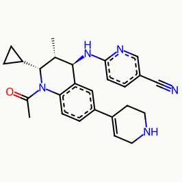 CC(=O)N1c2ccc(C3=CCNCC3)cc2[C@H](Nc2ccc(C#N)cn2)[C@@H](C)[C@H]1C1CC1